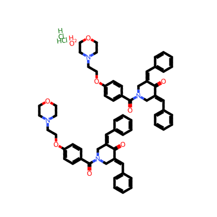 Cl.Cl.O.O=C1C(=Cc2ccccc2)CN(C(=O)c2ccc(OCCN3CCOCC3)cc2)CC1=Cc1ccccc1.O=C1C(=Cc2ccccc2)CN(C(=O)c2ccc(OCCN3CCOCC3)cc2)CC1=Cc1ccccc1